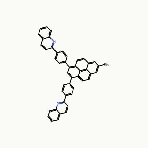 CC(C)(C)c1cc2ccc3c(-c4ccc(-c5ccc6ccccc6n5)cc4)cc(-c4ccc(-c5ccc6ccccc6n5)cc4)c4ccc(c1)c2c34